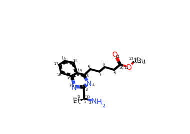 CC[C@H](N)c1nc(CCCCC(=O)OC(C)(C)C)c2ccccc2n1